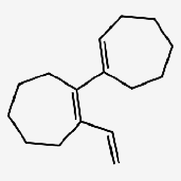 C=CC1=C(C2=CCCCCC2)CCCCC1